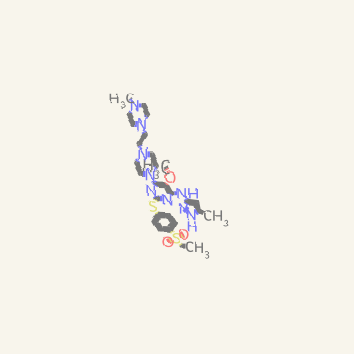 CCS(=O)(=O)c1ccc(Sc2nc(Nc3cc(C)[nH]n3)c(OC)c(N3CCN(CCN4CCN(C)CC4)CC3)n2)cc1